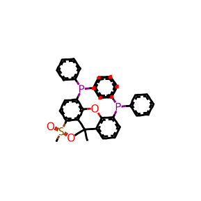 CC1(C)c2cccc(P(c3ccccc3)c3ccccc3)c2Oc2c(P(c3ccccc3)c3ccccc3)ccc(S(C)(=O)=O)c21